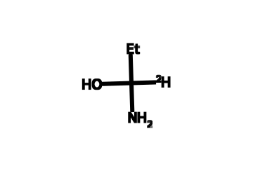 [2H]C(N)(O)CC